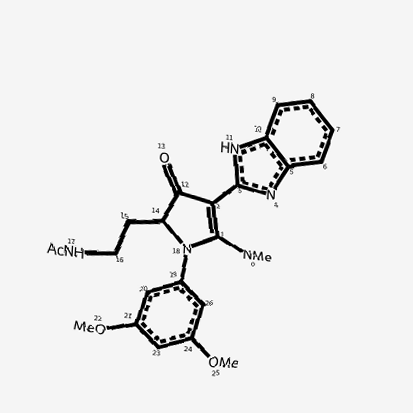 CNC1=C(c2nc3ccccc3[nH]2)C(=O)C(CCNC(C)=O)N1c1cc(OC)cc(OC)c1